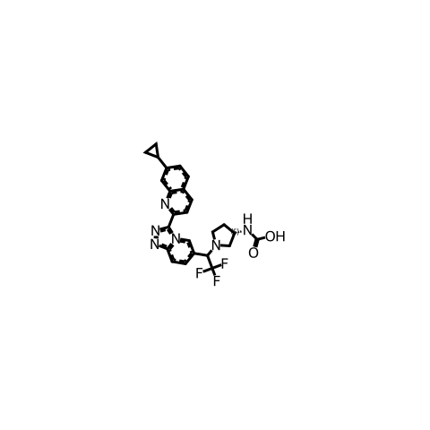 O=C(O)N[C@H]1CCN(C(c2ccc3nnc(-c4ccc5ccc(C6CC6)cc5n4)n3c2)C(F)(F)F)C1